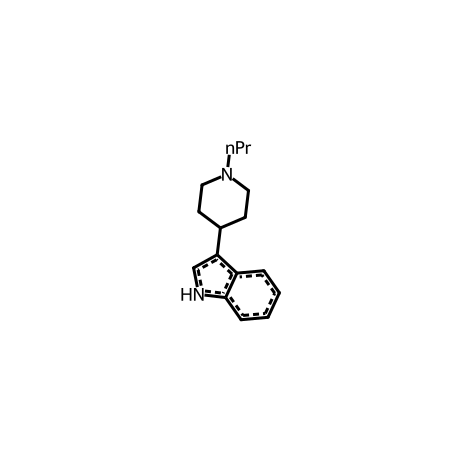 C[CH]CN1CCC(c2c[nH]c3ccccc23)CC1